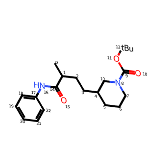 CC(CCC1CCCN(C(=O)OC(C)(C)C)C1)C(=O)Nc1ccccc1